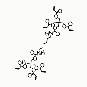 C=CC(=O)OCC(COC(=O)C=C)(COC(=O)C=C)COC(=O)NCCCCCCNC(=O)OCC(COC(=O)C=C)(COC(=O)C=C)COC(O)C=C